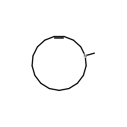 CN1CC/C=C\CCCCCCCCCCCC1